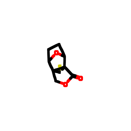 O=C1OCC23CSCC12C1CCC3O1